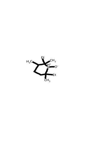 CCC1(C)CCC(C)C(C)(CC)[NH+]1[O-]